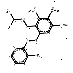 COc1cc(SSc2ncccc2[N+](=O)[O-])c(CNC(C)C(C)=O)c(OC)c1OC